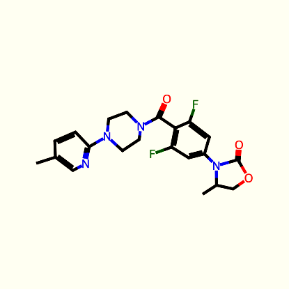 Cc1ccc(N2CCN(C(=O)c3c(F)cc(N4C(=O)OCC4C)cc3F)CC2)nc1